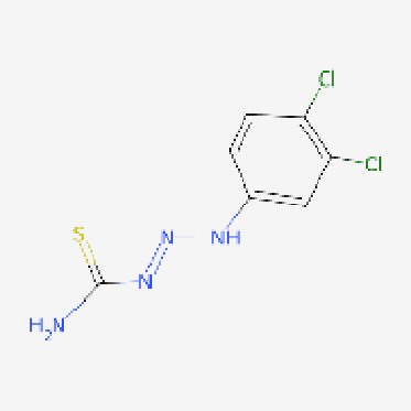 NC(=S)/N=N/Nc1ccc(Cl)c(Cl)c1